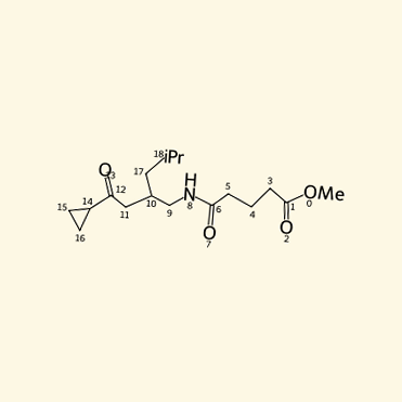 COC(=O)CCCC(=O)NCC(CC(=O)C1CC1)CC(C)C